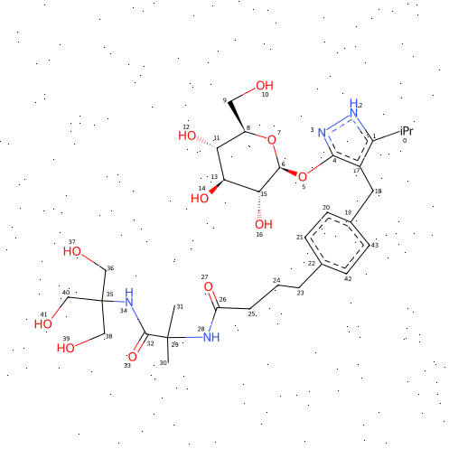 CC(C)c1[nH]nc(O[C@@H]2O[C@H](CO)[C@@H](O)[C@H](O)[C@H]2O)c1Cc1ccc(CCCC(=O)NC(C)(C)C(=O)NC(CO)(CO)CO)cc1